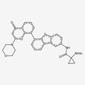 CC(=O)NC1(C(=O)Nc2ccc3sc4c(-c5cccc6c(=O)cc(N7CCOCC7)oc56)cccc4c3c2)CC1